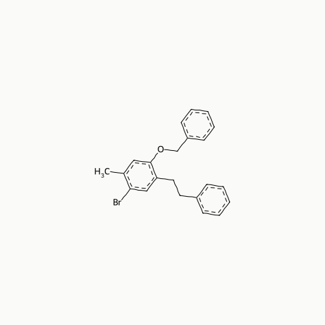 Cc1cc(OCc2ccccc2)c(CCc2ccccc2)cc1Br